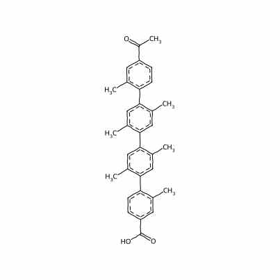 CC(=O)c1ccc(-c2cc(C)c(-c3cc(C)c(-c4ccc(C(=O)O)cc4C)cc3C)cc2C)c(C)c1